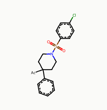 CC(=O)C1(c2ccccc2)CCN(S(=O)(=O)c2ccc(Cl)cc2)CC1